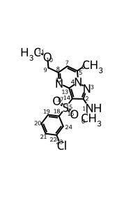 CNc1nn2c(C)cc(COC)nc2c1S(=O)(=O)c1cccc(Cl)c1